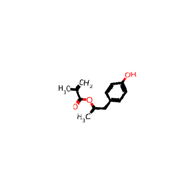 C=C(C)C(=O)OC(C)Cc1ccc(O)cc1